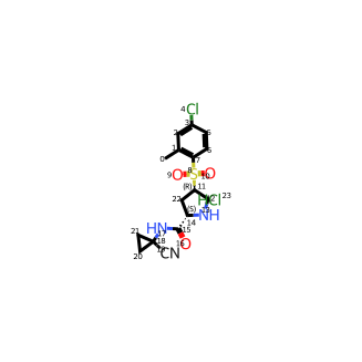 Cc1cc(Cl)ccc1S(=O)(=O)[C@H]1CN[C@H](C(=O)NC2(C#N)CC2)C1.Cl